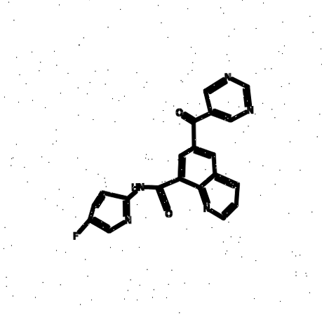 O=C(c1cncnc1)c1cc(C(=O)Nc2ccc(F)cn2)c2ncccc2c1